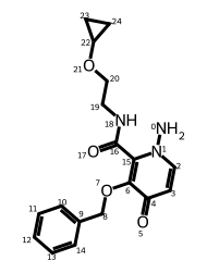 Nn1ccc(=O)c(OCc2ccccc2)c1C(=O)NCCOC1CC1